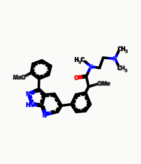 COc1ccccc1-c1n[nH]c2ncc(-c3cccc(C(OC)C(=O)N(C)CCN(C)C)c3)cc12